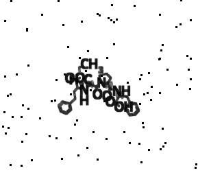 CCOC(=O)C(CCc1ccccc1)N[C@@H](C)C(=O)N1CCC[C@H]1C(=O)N[C@@H](Cc1ccccc1)C(=O)O